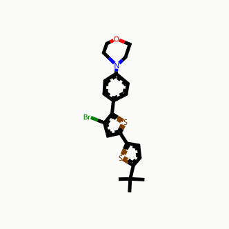 CC(C)(C)c1ccc(-c2cc(Br)c(-c3ccc(N4CCOCC4)cc3)s2)s1